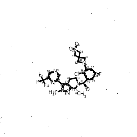 C[C@@H]1c2nn(C)c(-c3cncc(C(F)(F)F)n3)c2CCN1C(=O)c1cc(F)cc(N2CC3(C2)CS(=O)(=O)C3)c1Cl